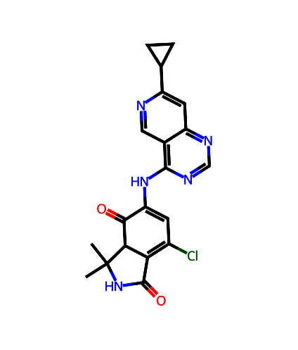 CC1(C)NC(=O)C2=C(Cl)C=C(Nc3ncnc4cc(C5CC5)ncc34)C(=O)C21